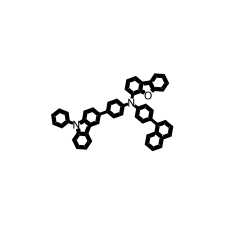 c1ccc(-n2c3ccccc3c3cc(-c4ccc(N(c5ccc(-c6cccc7ccccc67)cc5)c5cccc6c5oc5ccccc56)cc4)ccc32)cc1